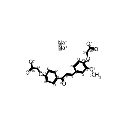 COc1cc(C=CC(=O)c2ccc(OCC(=O)[O-])cc2)ccc1OCC(=O)[O-].[Na+].[Na+]